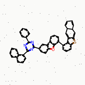 C1=CC2C=c3sc4cccc(-c5cccc6c5oc5ccc(-c7nc(-c8ccccc8)nc(-c8cccc9ccccc89)n7)cc56)c4c3=CC2C=C1